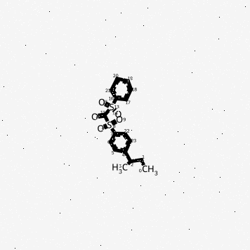 CCC(C)c1ccc(S(=O)(=O)C(=O)S(=O)(=O)c2ccccc2)cc1